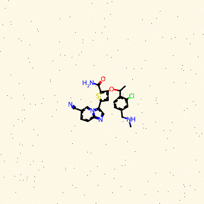 CNCc1ccc(C(C)Oc2cc(-c3cnc4ccc(C#N)cn34)sc2C(N)=O)c(Cl)c1